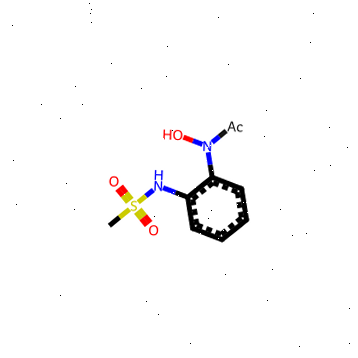 CC(=O)N(O)c1ccccc1NS(C)(=O)=O